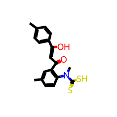 Cc1ccc(C(O)=CC(=O)c2cc(C)ccc2N(C)C(=S)S)cc1